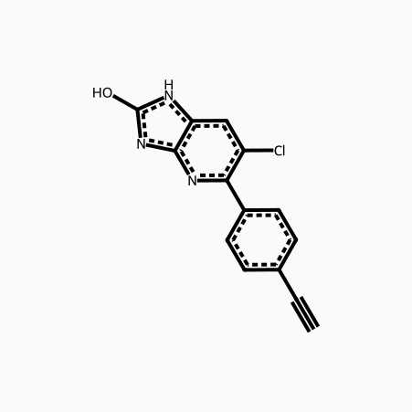 C#Cc1ccc(-c2nc3nc(O)[nH]c3cc2Cl)cc1